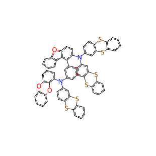 c1cc(-c2c(N(c3ccc4c(c3)Sc3ccccc3S4)c3ccc4c(c3)Sc3ccccc3S4)ccc3oc4ccccc4c23)cc(N(c2ccc3c(c2)Sc2ccccc2S3)c2cccc3c2Oc2ccccc2O3)c1